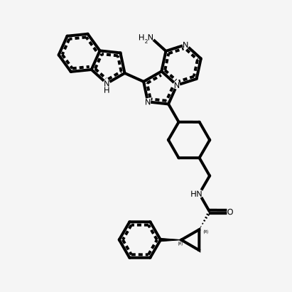 Nc1nccn2c(C3CCC(CNC(=O)[C@@H]4C[C@H]4c4ccccc4)CC3)nc(-c3cc4ccccc4[nH]3)c12